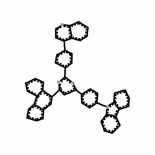 c1ccc2c(c1)cc(-c1cc(-c3ccc(-n4c5ccccc5c5ccccc54)cc3)nc(-c3ccc(-c4ccnc5ccccc45)cc3)n1)c1ccccc12